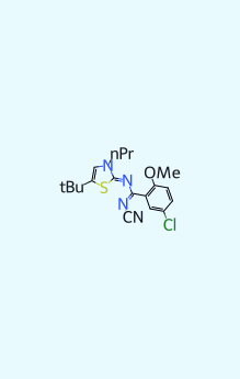 CCCn1cc(C(C)(C)C)s/c1=N\C(=N\C#N)c1cc(Cl)ccc1OC